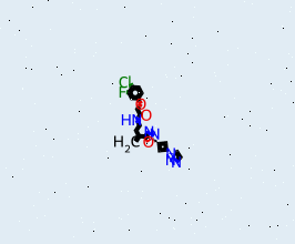 C=C(CCNC(=O)COc1ccc(Cl)c(F)c1)c1nnc([C@H]2C[C@@H](n3ccnn3)C2)o1